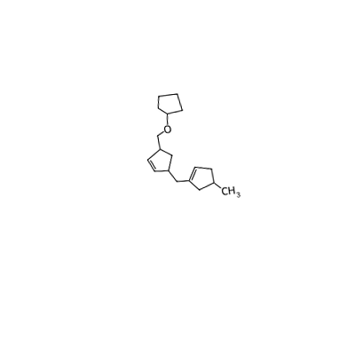 CC1CC=C(CC2C=CC(COC3CCCC3)C2)C1